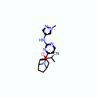 CC(C#N)C(=O)N1C2C=C(c3ccnc(Nc4cnn(C)c4)n3)CC1CC2